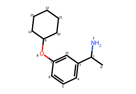 CC(N)c1cccc(OC2CCCCC2)c1